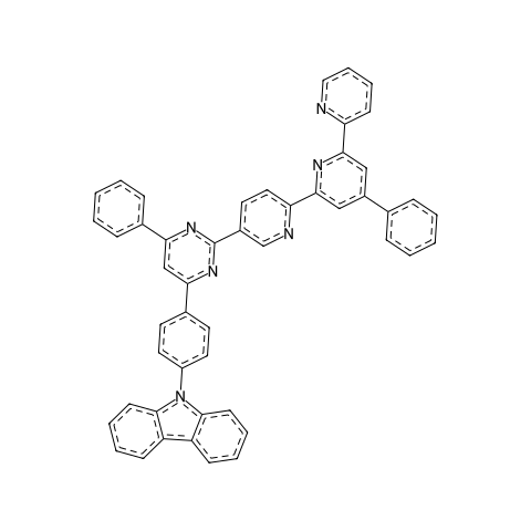 c1ccc(-c2cc(-c3ccccn3)nc(-c3ccc(-c4nc(-c5ccccc5)cc(-c5ccc(-n6c7ccccc7c7ccccc76)cc5)n4)cn3)c2)cc1